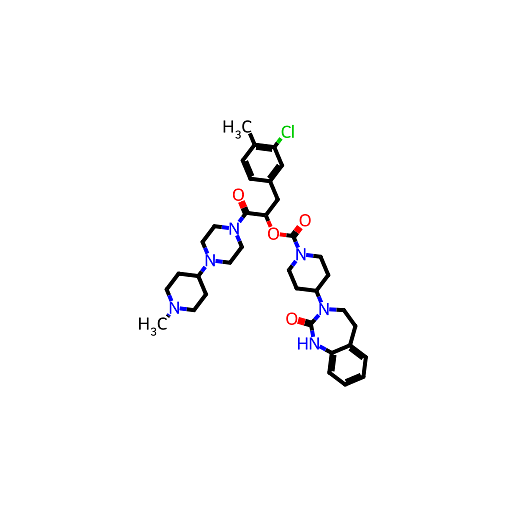 Cc1ccc(CC(OC(=O)N2CCC(N3CCc4ccccc4NC3=O)CC2)C(=O)N2CCN(C3CCN(C)CC3)CC2)cc1Cl